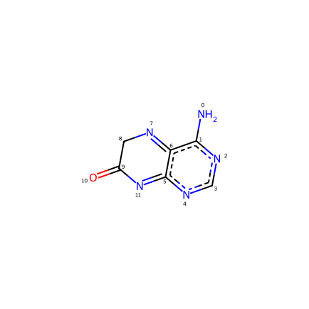 Nc1ncnc2c1=NCC(=O)N=2